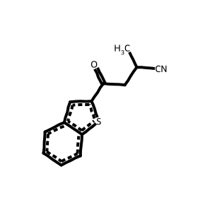 CC(C#N)CC(=O)c1cc2ccccc2s1